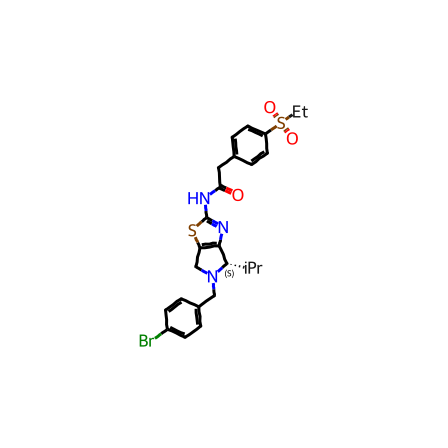 CCS(=O)(=O)c1ccc(CC(=O)Nc2nc3c(s2)CN(Cc2ccc(Br)cc2)[C@H]3C(C)C)cc1